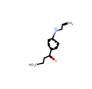 C=CCNc1ccc(C(=O)CCC(=O)O)cc1